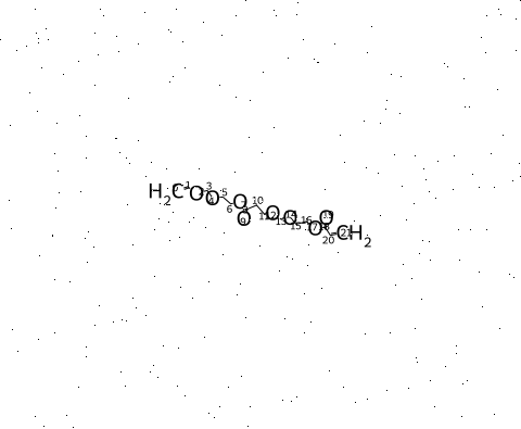 C=COCOCCOC(=O)CCOCOCCOC(=O)C=C